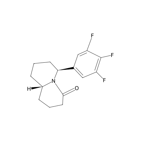 O=C1CCC[C@@H]2CCC[C@@H](c3cc(F)c(F)c(F)c3)N12